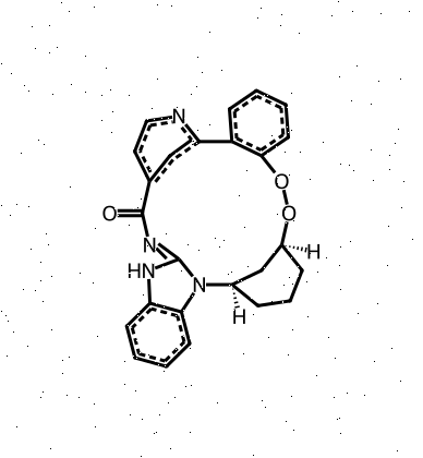 O=C1/N=C2\Nc3ccccc3N2[C@@H]2CCC[C@@H](C2)OOc2ccccc2-c2cc1ccn2